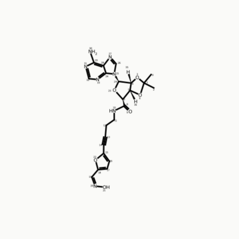 CC1(C)O[C@@H]2[C@H](O1)[C@@H](C(=O)NCCC#Cc1ccc(/C=N\O)o1)O[C@H]2n1cnc2c(N)ncnc21